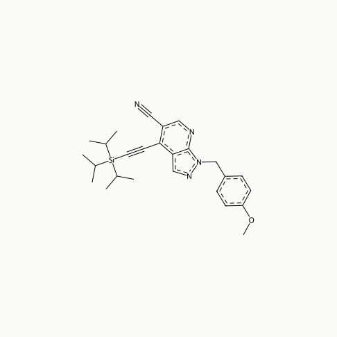 COc1ccc(Cn2ncc3c(C#C[Si](C(C)C)(C(C)C)C(C)C)c(C#N)cnc32)cc1